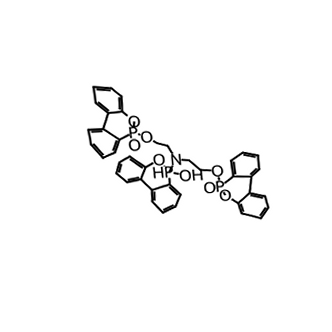 O=P1(OCCN(CCOP2(=O)Oc3ccccc3-c3ccccc32)[PH]2(O)Oc3ccccc3-c3ccccc32)Oc2ccccc2-c2ccccc21